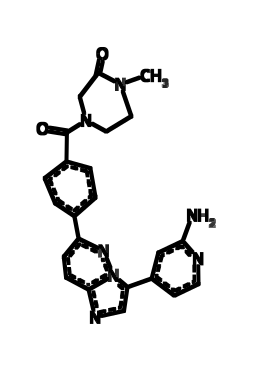 CN1CCN(C(=O)c2ccc(-c3ccc4ncc(-c5ccnc(N)c5)n4n3)cc2)CC1=O